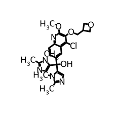 COc1nc2ccc(C(O)(c3cnc(C)n3C)c3cnc(C)n3C)cc2c(Cl)c1OCC1COC1